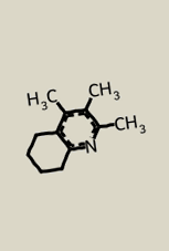 Cc1nc2c(c(C)c1C)CCCC2